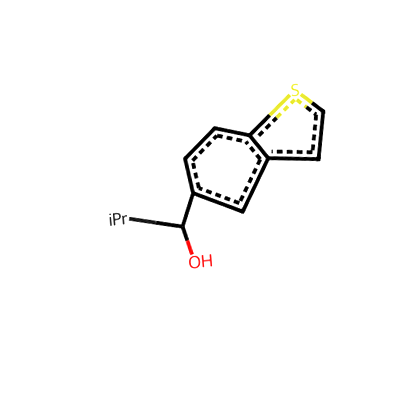 CC(C)C(O)c1ccc2sccc2c1